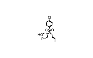 CC=CCN([C@@H](CO)CC(C)C)S(=O)(=O)c1ccc(Cl)cc1